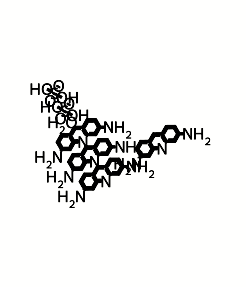 Nc1ccc2cc3ccc(N)cc3nc2c1.Nc1ccc2cc3ccc(N)cc3nc2c1.Nc1ccc2cc3ccc(N)cc3nc2c1.Nc1ccc2cc3ccc(N)cc3nc2c1.O.O=S(=O)(O)O.O=S(=O)(O)O